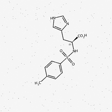 Cc1ccc(S(=O)(=O)N[C@@H](Cc2c[nH]cn2)C(=O)O)cc1